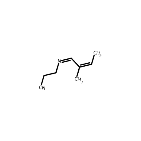 C/C=C(C)\C=N/CCC#N